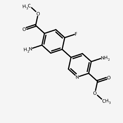 COC(=O)c1cc(F)c(-c2cnc(C(=O)OC)c(N)c2)cc1N